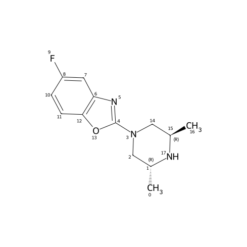 C[C@@H]1CN(c2nc3cc(F)ccc3o2)C[C@@H](C)N1